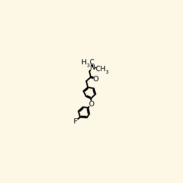 CN(C)CC(=O)Cc1ccc(Oc2ccc(F)cc2)cc1